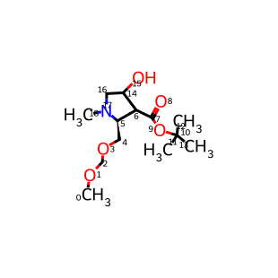 COCOC[C@@H]1C(C(=O)OC(C)(C)C)C(O)CN1C